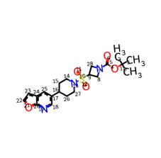 CC(C)(C)OC(=O)N1CC(S(=O)(=O)N2CCC(c3cnc4occc4c3)CC2)C1